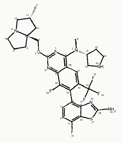 CN(c1nc(OC[C@@]23CCCN2C[C@H](F)C3)nc2c(F)c(-c3ccc(F)c4sc(N)nc34)c(C(F)(F)F)cc12)[C@@H]1CCNC1